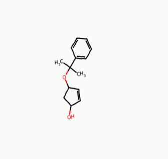 CC(C)(OC1C=CC(O)C1)c1ccccc1